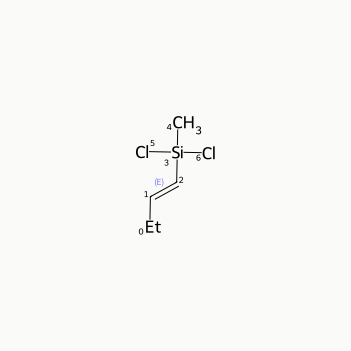 CC/C=C/[Si](C)(Cl)Cl